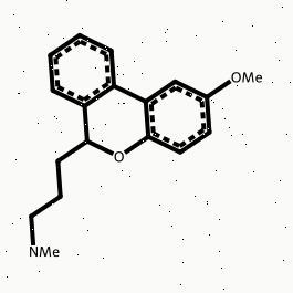 CNCCCC1Oc2ccc(OC)cc2-c2ccccc21